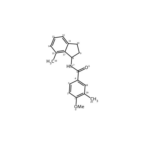 COc1ccc(C(=O)NC2CCc3cccc(C)c32)cc1C